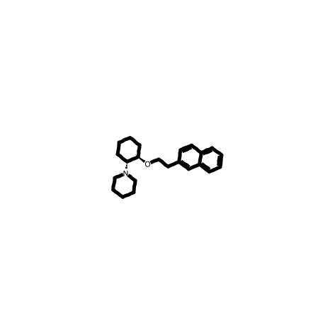 c1ccc2cc(CCO[C@@H]3CCCC[C@H]3N3CCCCC3)ccc2c1